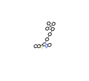 c1ccc(C2(c3ccccc3)c3ccccc3-c3c(-c4ccc(-c5ccc(-c6cc7c8cc9ccccc9cc8sc7c7nc8ccccc8n67)cc5)cc4)cccc32)cc1